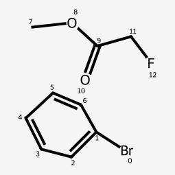 Brc1ccccc1.COC(=O)CF